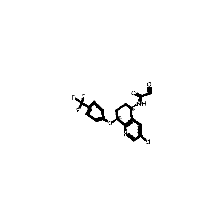 O=CC(=O)N[C@@H]1CC[C@H](Oc2ccc(C(F)(F)F)cc2)c2ncc(Cl)cc21